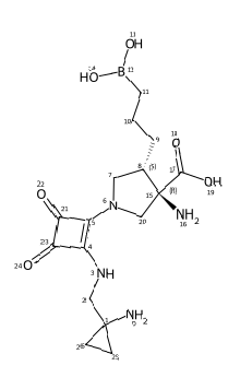 NC1(CNc2c(N3C[C@H](CCCB(O)O)[C@](N)(C(=O)O)C3)c(=O)c2=O)CC1